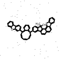 CC1(C)c2ccc(-c3ccccccc(-c4ccc5c(c4)oc4ccccc45)c4ccccc34)cc2-c2ccc3ccc4c5ccccc5sc4c3c21